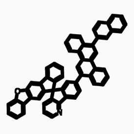 c1ccc2c(c1)-c1cc3oc4ccccc4c3cc1C21c2cc(-c3cc4c5ccccc5c(-c5ccc6ccccc6c5)cc4c4ccccc34)ccc2-c2ncccc21